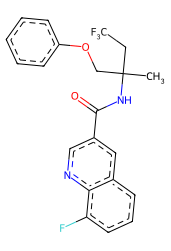 CC(COc1ccccc1)(CC(F)(F)F)NC(=O)c1cnc2c(F)cccc2c1